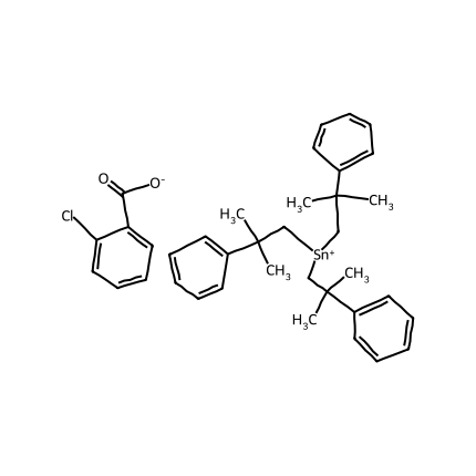 CC(C)([CH2][Sn+]([CH2]C(C)(C)c1ccccc1)[CH2]C(C)(C)c1ccccc1)c1ccccc1.O=C([O-])c1ccccc1Cl